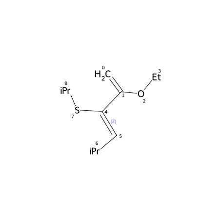 C=C(OCC)/C(=C/C(C)C)SC(C)C